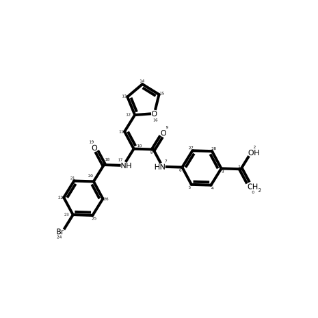 C=C(O)c1ccc(NC(=O)/C(=C\c2ccco2)NC(=O)c2ccc(Br)cc2)cc1